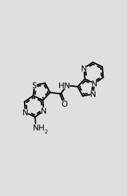 Nc1ncc2scc(C(=O)Nc3cnn4cccnc34)c2n1